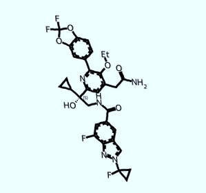 CCOc1c(CC(N)=O)cc([C@@](O)(CNC(=O)c2cc(F)c3nn(C4(F)CC4)cc3c2)C2CC2)nc1-c1ccc2c(c1)OC(F)(F)O2